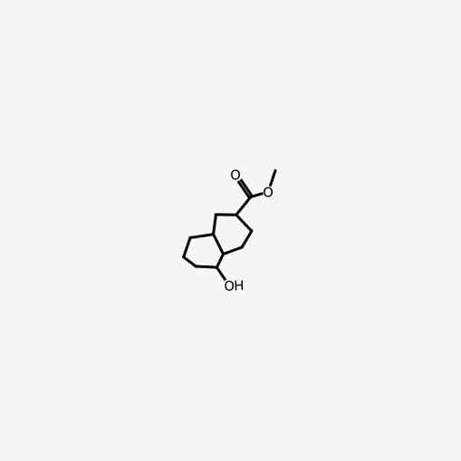 COC(=O)C1CCC2C(O)CCCC2C1